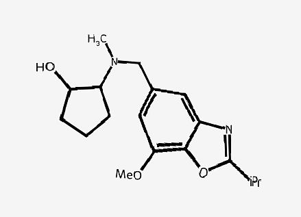 COc1cc(CN(C)C2CCCC2O)cc2nc(C(C)C)oc12